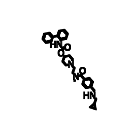 CN(CCN1CCC(OC(=O)Nc2ccccc2-c2ccccc2)CC1)C(=O)c1ccc(CNCC2CC2)cc1